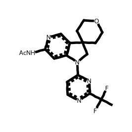 CC(=O)Nc1cc2c(cn1)C1(CCOCC1)CN2c1ccnc(C(C)(F)F)n1